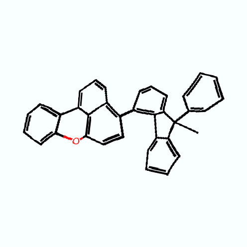 CC1(c2ccccc2)c2ccccc2-c2c(-c3ccc4c5c(cccc35)-c3ccccc3O4)cccc21